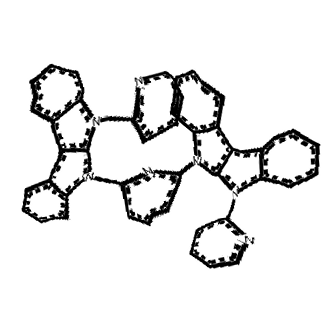 c1ccc(-n2c3ccccc3c3c4ccccc4n(-c4cccc(-n5c6ccccc6c6c7ccccc7n(-c7ccccn7)c65)n4)c32)nc1